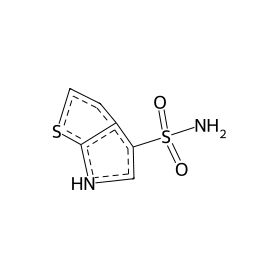 NS(=O)(=O)c1c[nH]c2sccc12